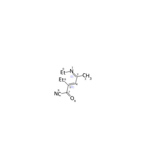 CC/N=C(C)\C=C(/CC)C(=O)C#N